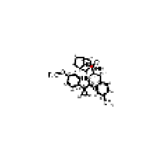 NC1CC2CCC(C1)N2C(=O)C(Cc1ccc(C(F)(F)F)cc1)NC(=O)C1(c2ccc(OC(F)(F)F)cc2)CC1